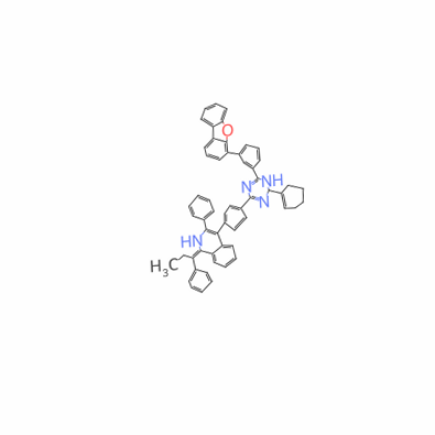 CC/C(=C1\NC(c2ccccc2)=C(c2ccc(C3=NC(C4=CCCCC4)NC(c4cccc(-c5cccc6c5oc5ccccc56)c4)=N3)cc2)c2ccccc21)c1ccccc1